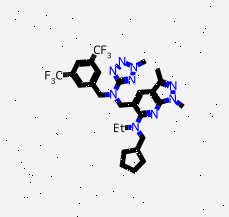 CCN(CC1CCCC1)c1nc2c(cc1CN(Cc1cc(C(F)(F)F)cc(C(F)(F)F)c1)c1nnn(C)n1)c(C)nn2C